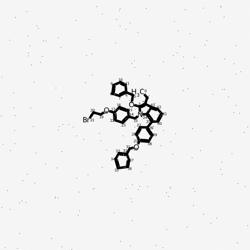 CCc1c(OCc2ccccc2)n(Cc2ccc(OCCBr)cc2)c2c(-c3ccc(OCc4ccccc4)cc3)cccc12